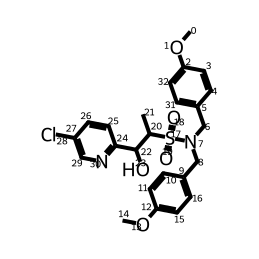 COc1ccc(CN(Cc2ccc(OC)cc2)S(=O)(=O)C(C)C(O)c2ccc(Cl)cn2)cc1